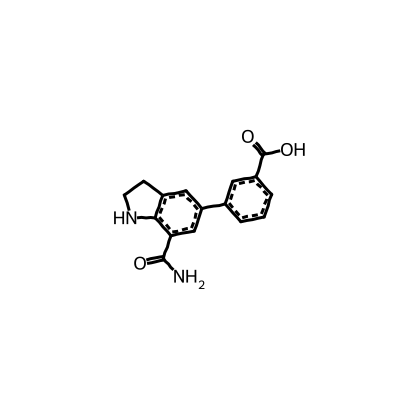 NC(=O)c1cc(-c2cccc(C(=O)O)c2)cc2c1NCC2